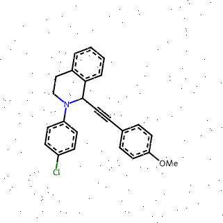 COc1ccc(C#CC2c3ccccc3CCN2c2ccc(Cl)cc2)cc1